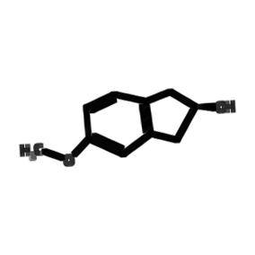 COc1ccc2c(c1)C[C@H](O)C2